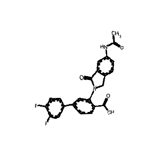 CC(=O)Nc1ccc2c(c1)C(=O)N(c1cc(-c3ccc(F)c(F)c3)ccc1C(=O)O)C2